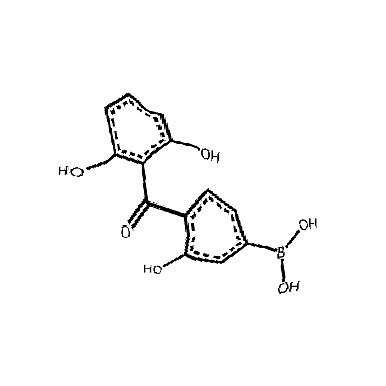 O=C(c1ccc(B(O)O)cc1O)c1c(O)cccc1O